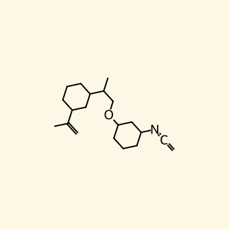 C=C=NC1CCCC(OCC(C)C2CCCC(C(=C)C)C2)C1